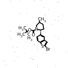 CC1CC[C@@H](c2ccc3sc(Br)cc3c2)N(C(=O)OC(C)(C)C)C1